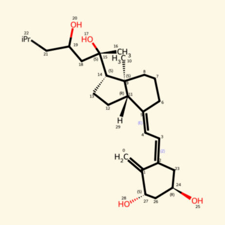 C=C1/C(=C\C=C2/CCC[C@@]3(C)[C@H]2CC[C@@H]3[C@@](C)(O)CC(O)CC(C)C)C[C@@H](O)C[C@@H]1O